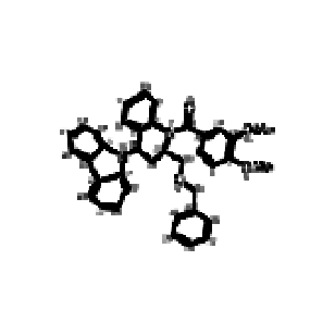 COc1ccc(C(=O)N2c3ccccc3C(n3c4ccccc4c4ccccc43)CC2COCc2ccccc2)cc1OC